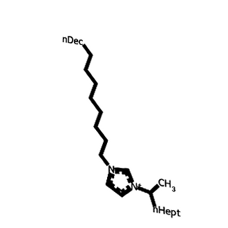 CCCCCCCCCCCCCCCCCCn1cc[n+](C(C)CCCCCCC)c1